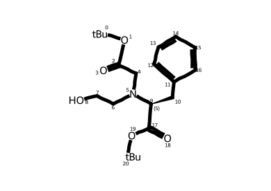 CC(C)(C)OC(=O)CN(CCO)[C@@H](Cc1ccccc1)C(=O)OC(C)(C)C